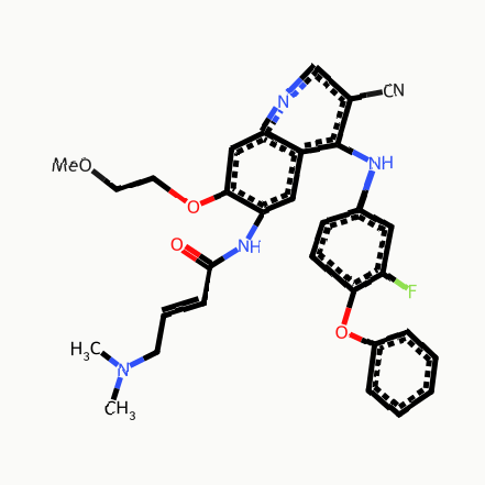 COCCOc1cc2ncc(C#N)c(Nc3ccc(Oc4ccccc4)c(F)c3)c2cc1NC(=O)C=CCN(C)C